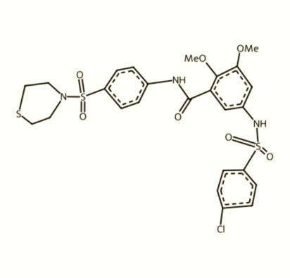 COc1cc(NS(=O)(=O)c2ccc(Cl)cc2)cc(C(=O)Nc2ccc(S(=O)(=O)N3CCSCC3)cc2)c1OC